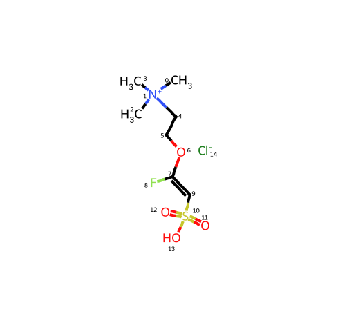 C[N+](C)(C)CCOC(F)=CS(=O)(=O)O.[Cl-]